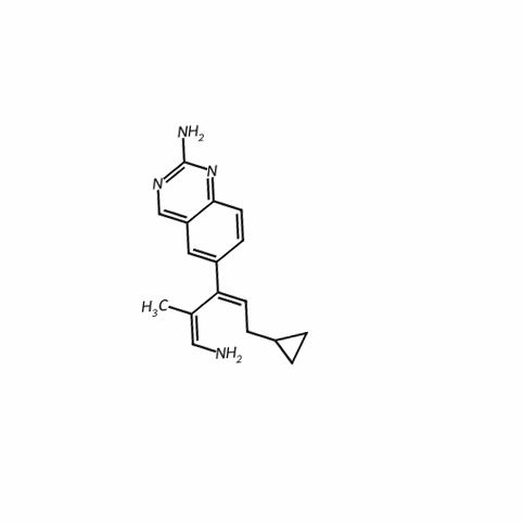 CC(=C/N)/C(=C\CC1CC1)c1ccc2nc(N)ncc2c1